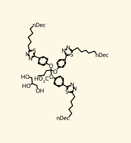 CCCCCCCCCCCCCCCc1nnc(-c2ccc(OC(CCCC(=O)O)(Oc3ccc(-c4nnc(CCCCCCCCCCCCCCC)s4)cc3)Oc3ccc(-c4nnc(CCCCCCCCCCCCCCC)s4)cc3)cc2)s1.OCC(O)CO